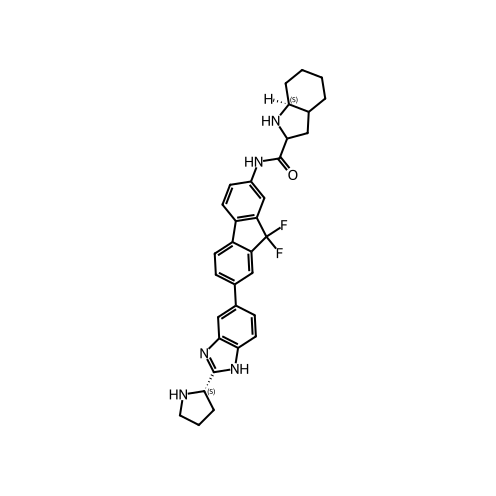 O=C(Nc1ccc2c(c1)C(F)(F)c1cc(-c3ccc4[nH]c([C@@H]5CCCN5)nc4c3)ccc1-2)C1CC2CCCC[C@@H]2N1